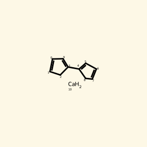 C1=CCC(C2=CC=CC2)=C1.[CaH2]